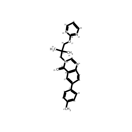 Cc1ccc(-c2ccc3ncn(CC(C)(C)COc4ncccn4)c(=O)c3c2)cc1